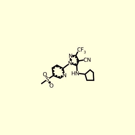 CS(=O)(=O)c1ccc(-n2nc(C(F)(F)F)c(C#N)c2NC2CCCC2)nc1